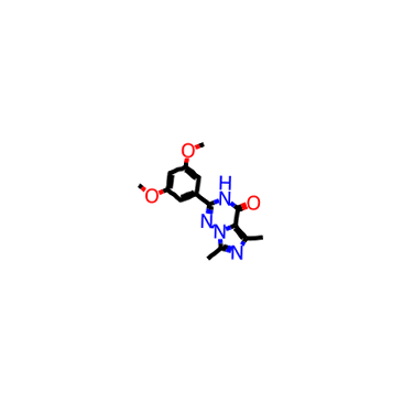 COc1cc(OC)cc(-c2nn3c(C)nc(C)c3c(=O)[nH]2)c1